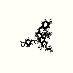 COc1ccc(COc2c3c(c(N(C)S(C)(=O)=O)c4cc(Cc5ccc(F)cc5)cnc24)CN(CCF)C3=O)cc1